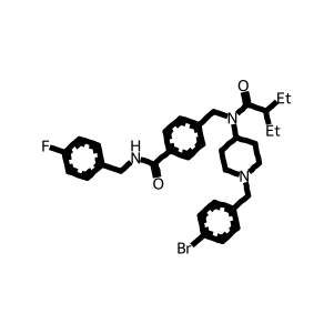 CCC(CC)C(=O)N(Cc1ccc(C(=O)NCc2ccc(F)cc2)cc1)C1CCN(Cc2ccc(Br)cc2)CC1